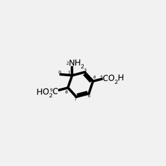 CC1(N)C=C(C(=O)O)C=CC1C(=O)O